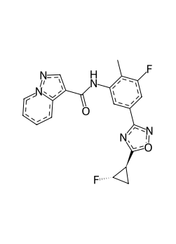 Cc1c(F)cc(-c2noc([C@H]3C[C@@H]3F)n2)cc1NC(=O)c1cnn2ccccc12